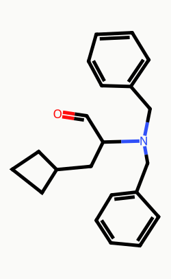 O=CC(CC1CCC1)N(Cc1ccccc1)Cc1ccccc1